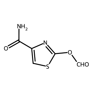 NC(=O)c1csc(OC=O)n1